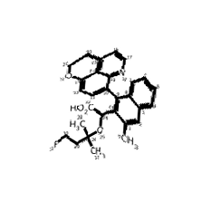 Cc1cc2ccccc2c(-c2ccc3c4c(ccnc24)CCO3)c1C(OC(C)(C)CCF)C(=O)O